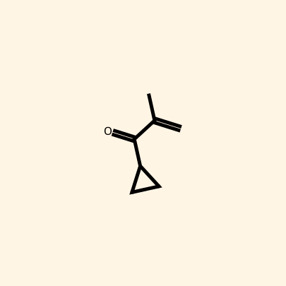 C=C(C)C(=O)C1CC1